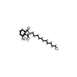 O=C1c2cccc([N+](=O)[O-])c2C(=O)N1CCCCCCCCCCCCl